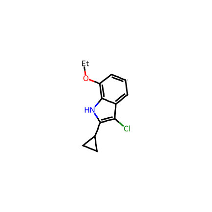 CCOc1c[c]cc2c(Cl)c(C3CC3)[nH]c12